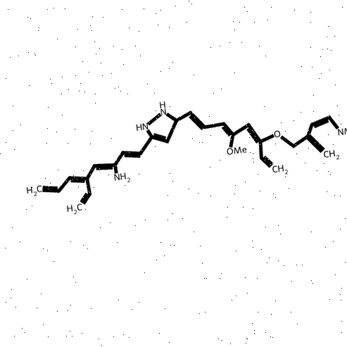 C=C/C=C(C=C)/C=C(N)/C=C/C1=CC(/C=C/C=C(/C=C(\C=C)OCC(=C)/C=C\NC)OC)NN1